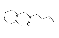 C=CCCC(=O)CC1=C(I)CCCC1